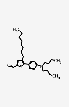 CCCCCCCCc1cc(C=O)sc1-c1ccc(N(CCCC)CCCC)cc1